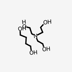 OCCCCO.OCCN(CCO)CCO